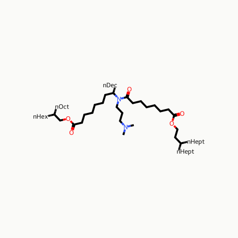 CCCCCCCCCCC(CCCCCCC(=O)OCC(CCCCCC)CCCCCCCC)N(CCCN(C)C)C(=O)CCCCCCC(=O)OCCC(CCCCCCC)CCCCCCC